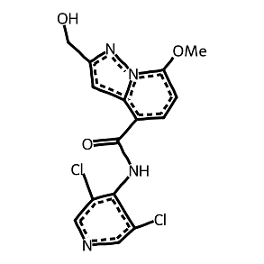 COc1ccc(C(=O)Nc2c(Cl)cncc2Cl)c2cc(CO)nn12